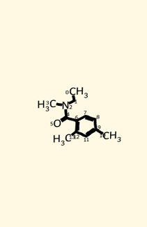 CCN(C)C(=O)c1ccc(C)cc1C